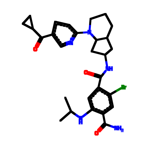 CC(C)Nc1cc(C(=O)NC2CC3CCCN(c4ccc(C(=O)C5CC5)cn4)C3C2)c(Br)cc1C(N)=O